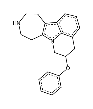 c1ccc(OC2Cc3cccc4c5c(n(c34)C2)CCNCC5)cc1